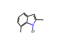 CCn1c(C)cc2cccc(C)c21